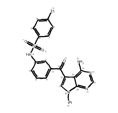 CCc1ccc(S(=O)(=O)Nc2cccc(C(=O)c3cn(C(C)C)c4ncnc(N)c34)c2)cc1